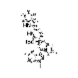 C[C@H]1C[C@@H](CNC(=O)[C@@H](NC(=O)c2cc3ccccc3[nH]2)C(C)(C)C)N(C(=O)c2n[nH]c3ccccc23)C1